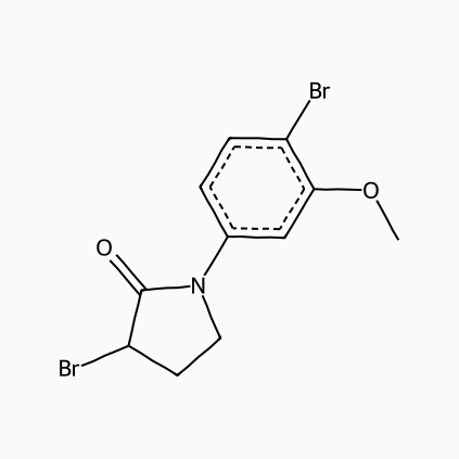 COc1cc(N2CCC(Br)C2=O)ccc1Br